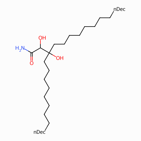 CCCCCCCCCCCCCCCCCCC(O)(CCCCCCCCCCCCCCCCCC)C(O)C(N)=O